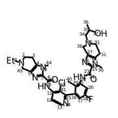 CCN1CCc2c(nc(C(=O)Nc3ccnc(-c4cc(F)cc(NC(=O)c5nc6c(n5C)CCN(CC(C)O)C6)c4C)c3Cl)n2C)C1